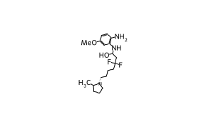 COc1ccc(N)c(NC(O)CC(F)(F)CCCC[C@@H]2CCCC2C)c1